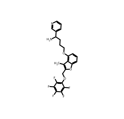 Cc1c(COc2c(F)c(F)c(F)c(F)c2F)oc2cccc(OCCCC(N)c3cccnc3)c12